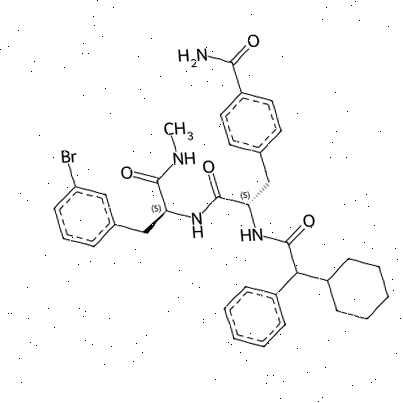 CNC(=O)[C@H](Cc1cccc(Br)c1)NC(=O)[C@H](Cc1ccc(C(N)=O)cc1)NC(=O)C(c1ccccc1)C1CCCCC1